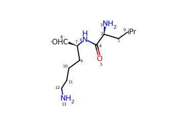 CC(C)C[C@H](N)C(=O)N[C@H]([C]=O)CCCCN